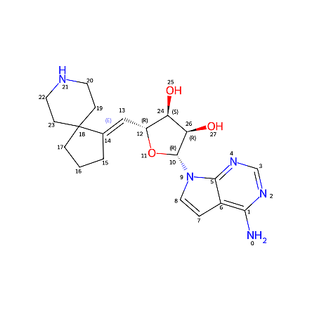 Nc1ncnc2c1ccn2[C@@H]1O[C@H](/C=C2\CCCC23CCNCC3)[C@@H](O)[C@H]1O